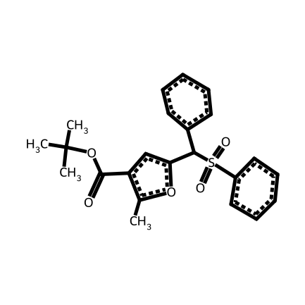 Cc1oc(C(c2ccccc2)S(=O)(=O)c2ccccc2)cc1C(=O)OC(C)(C)C